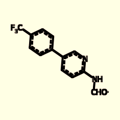 O=[C]Nc1ccc(-c2ccc(C(F)(F)F)cc2)cn1